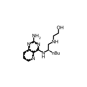 CCCC[C@H](CNCCO)Nc1nc(N)nc2cccnc12